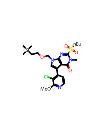 CCCCS(=O)(=O)c1nc2c(c(-c3ccnc(OC)c3Cl)cn2COCC[Si](C)(C)C)c(=O)n1C